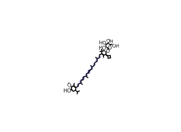 CC1=C(/C=C/C(C)=C/C=C/C(C)=C/C=C/C=C(C)/C=C/C=C(C)/C=C/C2=C(C)C(=C3CCC3)C(O[C@@H]3OC(CO)[C@@H](O)C(O)C3O)CC2(C)C)C(C(C)C)CC(O)C1=O